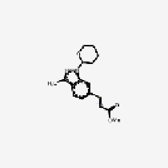 COC(=O)/C=C/c1ccc2c(C)nn(C3CCCCO3)c2c1